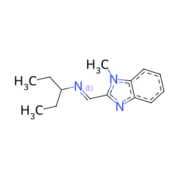 CCC(CC)/N=C/c1nc2ccccc2n1C